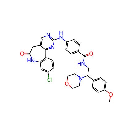 COc1ccc(C(CNC(=O)c2ccc(Nc3ncc4c(n3)-c3ccc(Cl)cc3NC(=O)C4)cc2)N2CCOCC2)cc1